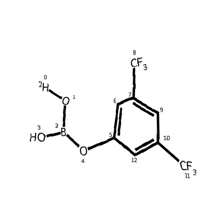 [2H]OB(O)Oc1cc(C(F)(F)F)cc(C(F)(F)F)c1